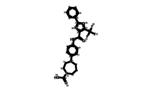 O=C(Nc1ccc(N2CCCN(C(=O)O)CC2)cc1)c1nc(-c2ccccc2)oc1C(F)(F)F